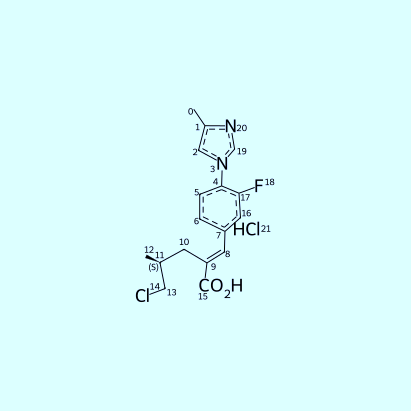 Cc1cn(-c2ccc(C=C(C[C@H](C)CCl)C(=O)O)cc2F)cn1.Cl